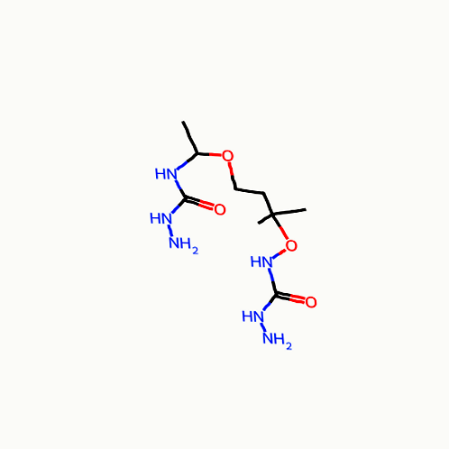 CC(NC(=O)NN)OCCC(C)(C)ONC(=O)NN